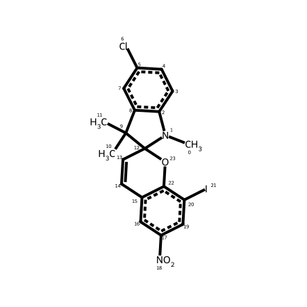 CN1c2ccc(Cl)cc2C(C)(C)C12C=Cc1cc([N+](=O)[O-])cc(I)c1O2